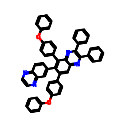 c1ccc(Oc2ccc(-c3cc4nc(-c5ccccc5)c(-c5ccccc5)nc4c(-c4ccc(Oc5ccccc5)cc4)c3-c3ccc4nccnc4c3)cc2)cc1